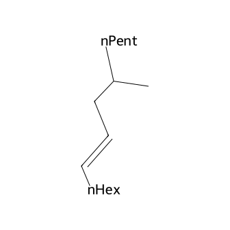 [CH2]CCCCCC=CCC(C)CCCC[CH2]